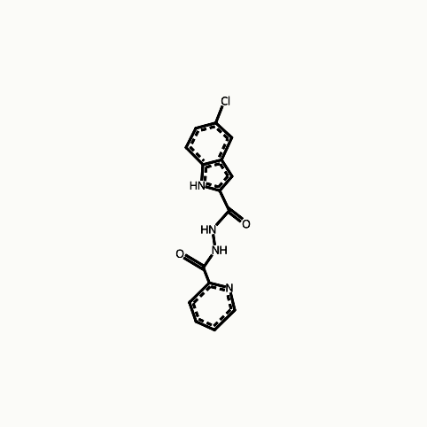 O=C(NNC(=O)c1cc2cc(Cl)ccc2[nH]1)c1ccccn1